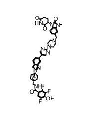 Cn1c(=O)n(C2CCC(=O)NC2=O)c2ccc(CN3CCN(c4ncc(-c5ccc6cn([C@]78CC[C@](CNC(=O)c9cc(F)c(O)c(F)c9F)(CC7)CC8)nc6c5)cn4)CC3)cc21